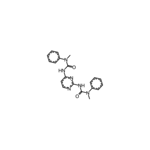 CN(C(=O)Nc1ccnc(NC(=O)N(C)c2ccccc2)n1)c1ccccc1